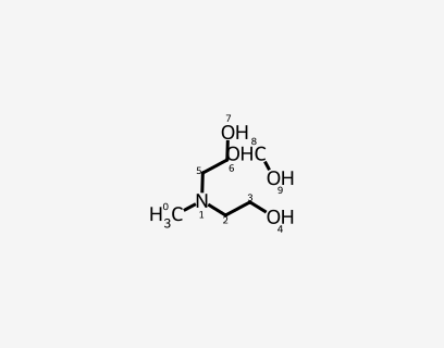 CN(CCO)CCO.O=CO